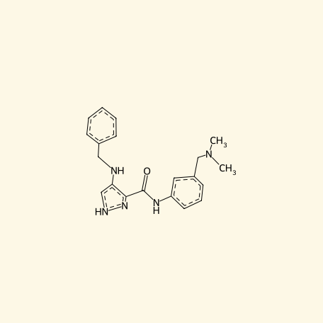 CN(C)Cc1cccc(NC(=O)c2n[nH]cc2NCc2ccccc2)c1